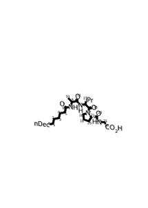 CCCCCCCCCCCCCCCC(=O)NC(C)C(=O)NC(C(=O)N1CCC[C@H]1C(=O)NCC(=O)O)C(C)C